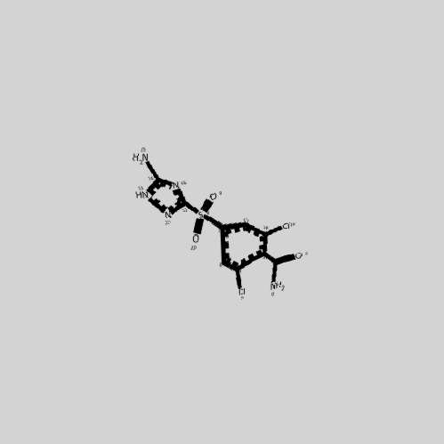 NC(=O)c1c(Cl)cc(S(=O)(=O)c2n[nH]c(N)n2)cc1Cl